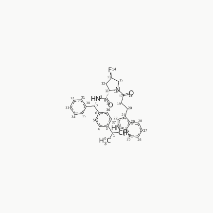 CC(C)c1ccc([C@@H](NC(=O)[C@@H]2C[C@@H](F)CN2C(=O)CCc2c[nH]c3ccccc23)c2ccccc2)cc1